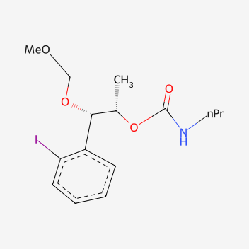 CCCNC(=O)O[C@@H](C)[C@@H](OCOC)c1ccccc1I